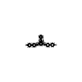 CC1CCC(C2CCC(COc3ccc(OCC4CCC(C5CCC(C)CC5)CC4)c4sc(-c5ccccc5)nc34)CC2)CC1